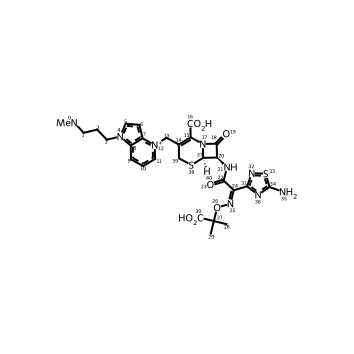 CNCCCn1ccc2c1ccc[n+]2CC1=C(C(=O)O)N2C(=O)[C@@H](NC(=O)/C(=N\OC(C)(C)C(=O)O)c3nsc(N)n3)[C@H]2SC1